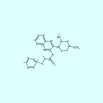 CN1CCN(c2nc3ccccc3nc2CC(=O)OCc2ccccc2)C(C#N)C1